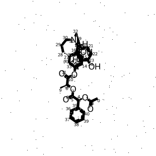 CC(=O)O[C@H](C(=O)O[C@@H](C)C(=O)OC1=CC[C@@]2(O)[C@H]3Cc4ccc(O)c5c4[C@@]2(CCCN3C)[C@H]1O5)c1ccccc1